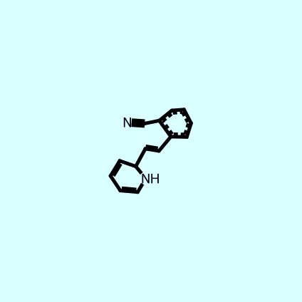 N#Cc1ccccc1/C=C/C1C=CC=CN1